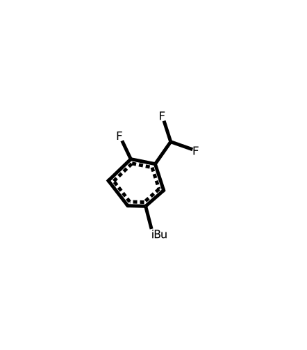 CCC(C)c1ccc(F)c(C(F)F)c1